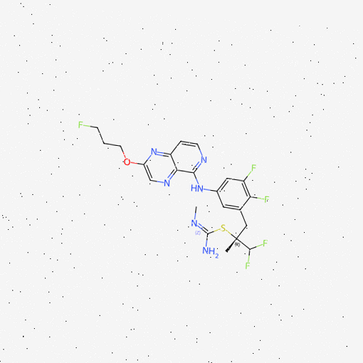 C/N=C(/N)S[C@](C)(Cc1cc(Nc2nccc3nc(OCCCF)cnc23)cc(F)c1F)C(F)F